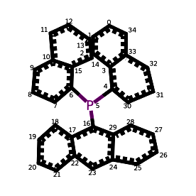 c1ccc2c(P(c3cccc4ccccc34)c3c4ccccc4cc4ccccc34)cccc2c1